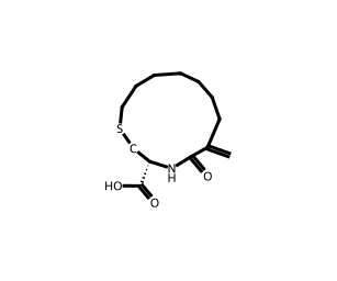 C=C1CCCCCCCSC[C@@H](C(=O)O)NC1=O